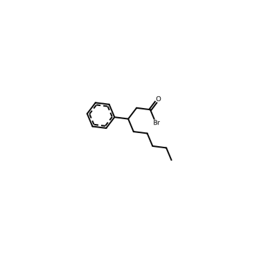 CCCCCC(CC(=O)Br)c1ccccc1